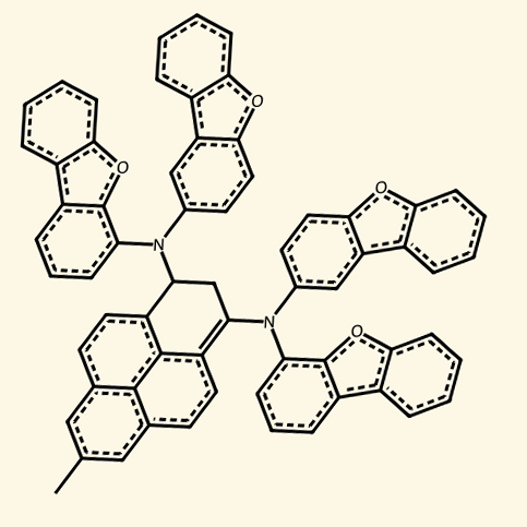 Cc1cc2ccc3c4c(ccc(c1)c24)=C(N(c1ccc2oc4ccccc4c2c1)c1cccc2c1oc1ccccc12)CC3N(c1ccc2oc3ccccc3c2c1)c1cccc2c1oc1ccccc12